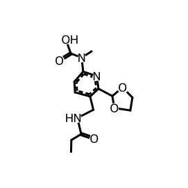 CCC(=O)NCc1ccc(N(C)C(=O)O)nc1C1OCCO1